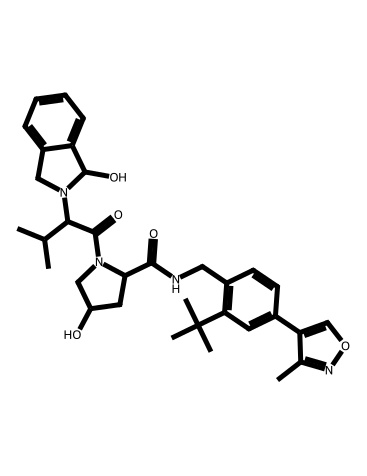 Cc1nocc1-c1ccc(CNC(=O)C2CC(O)CN2C(=O)C(C(C)C)N2Cc3ccccc3C2O)c(C(C)(C)C)c1